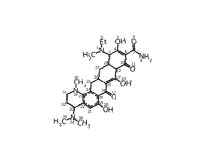 CCN(C)C1C(O)=C(C(N)=O)C(=O)C2C(O)=C3C(=O)c4c(O)cc5c(c4CC3CC21)N(C)CCC5N(C)C